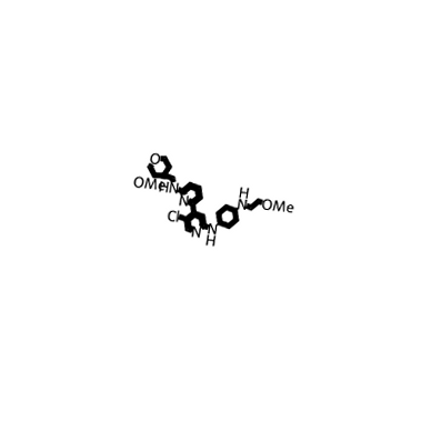 COCCN[C@H]1CC[C@H](Nc2cc(-c3cccc(NCC4(OC)CCOCC4)n3)c(Cl)cn2)CC1